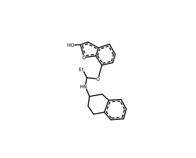 CCC(NC1CCc2ccccc2C1)Oc1cccc2cc(O)oc12